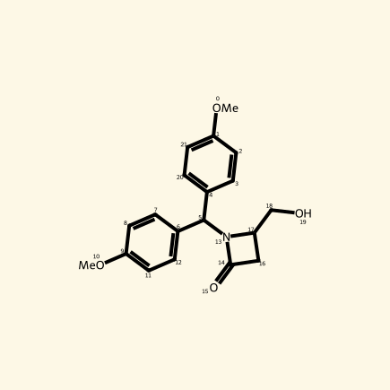 COc1ccc(C(c2ccc(OC)cc2)N2C(=O)CC2CO)cc1